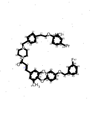 Cc1cc(/C=C/C(=O)N2CCN(Cc3ccc(CCOc4ccc(C(C)C)cc4)cc3)CC2)cc(Cl)c1Oc1ccc(OCc2cccc(F)c2)cn1.Cl